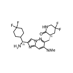 CNc1cc2nc([C@@H](N)C3CCC(F)(F)CC3)cn2nc1C[C@H]1CC(F)(F)CNC1=O